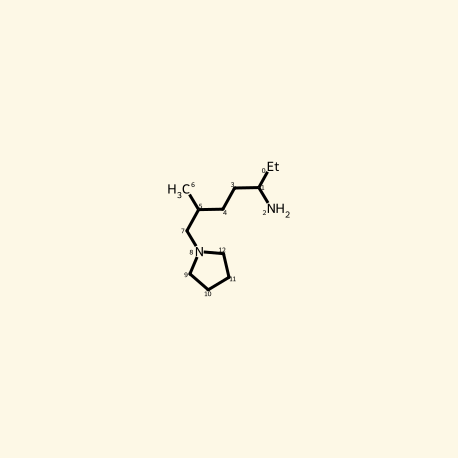 CCC(N)CCC(C)CN1CCCC1